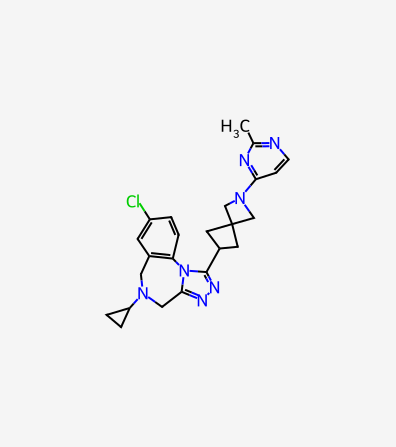 Cc1nccc(N2CC3(CC(c4nnc5n4-c4ccc(Cl)cc4CN(C4CC4)C5)C3)C2)n1